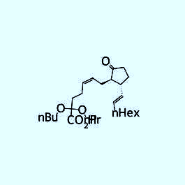 CCCCCC/C=C/[C@H]1CCC(=O)[C@@H]1C/C=C\CCC(OCCC)(OCCCC)C(=O)O